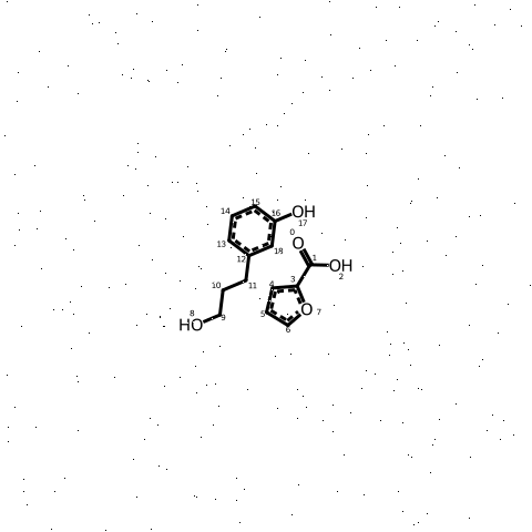 O=C(O)c1ccco1.OCCCc1cccc(O)c1